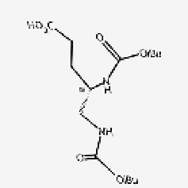 CC(C)COC(=O)NC[C@H](CCC(=O)O)NC(=O)OCC(C)C